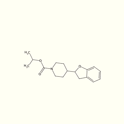 CC(C)OC(=O)N1CCC(C2Cc3ccccc3O2)CC1